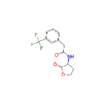 O=C(Cc1cccc(C(F)(F)F)c1)N[C@H]1CCOC1=O